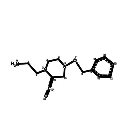 NCCN1CCN(OCc2ccccc2)CC1=C=O